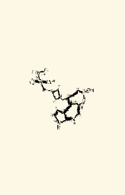 CCNS(=O)(=O)C[C@H]1C[C@@H](C2=CB(O)Oc3cnc4[nH]ccc4c32)C1